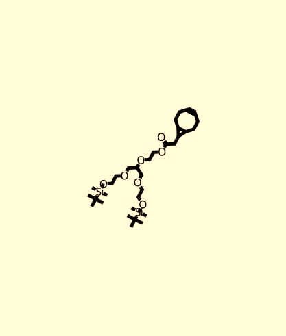 CC(C)(C)[Si](C)(C)OCCOCC(COCCO[Si](C)(C)C(C)(C)C)OCCOC(=O)CC1C2CCC#CCCC21